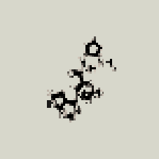 Cl.N[C@H]1CCC[C@H]1CNC(=O)C1=CN(c2ncnc3[nH]ccc23)CCS1